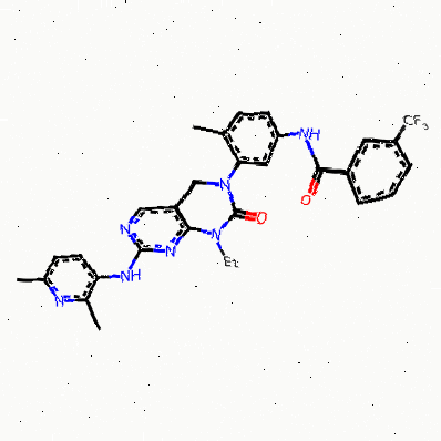 CCN1C(=O)N(c2cc(NC(=O)c3cccc(C(F)(F)F)c3)ccc2C)Cc2cnc(Nc3ccc(C)nc3C)nc21